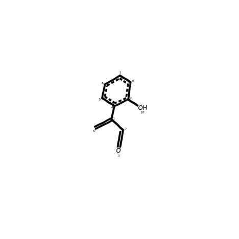 C=C(C=O)c1ccccc1O